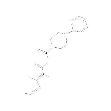 C=C(SC(=O)/C(C)=C(C)/C=C\C)N1CCN(c2ccccn2)CC1